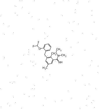 CCN(C)C(=N)c1cc(C)cc(Cc2ccccc2OC(F)F)c1C